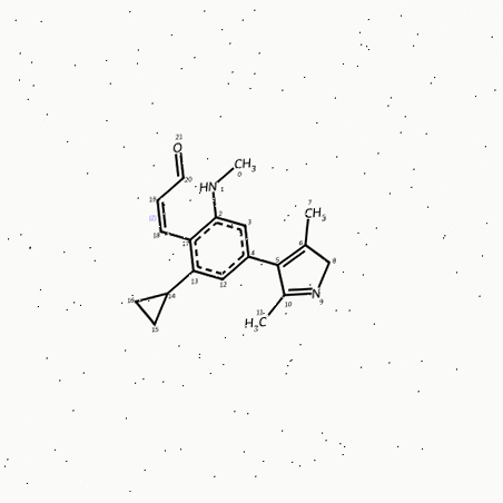 CNc1cc(C2=C(C)CN=C2C)cc(C2CC2)c1/C=C\C=O